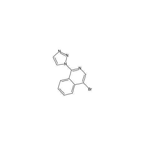 Brc1cnc(-n2ccnn2)c2ccccc12